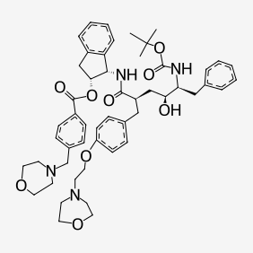 CC(C)(C)OC(=O)N[C@@H](Cc1ccccc1)[C@@H](O)C[C@@H](Cc1ccc(OCCN2CCOCC2)cc1)C(=O)N[C@H]1c2ccccc2C[C@H]1OC(=O)c1ccc(CN2CCOCC2)cc1